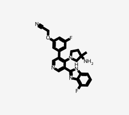 CC1(N)CCN(c2c(-c3cc(F)cc(OCC#N)c3)cncc2-c2nc3c(F)cccc3[nH]2)C1